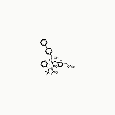 COCc1ccc([C@@H](O)[C@](C)(OCc2ccc(-c3ccccc3)cc2)C(=O)N2C(=O)OC(C)(C)[C@@H]2c2ccccc2)o1